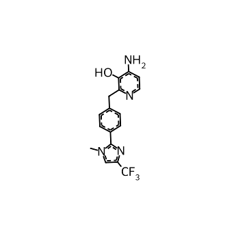 Cn1cc(C(F)(F)F)nc1-c1ccc(Cc2nccc(N)c2O)cc1